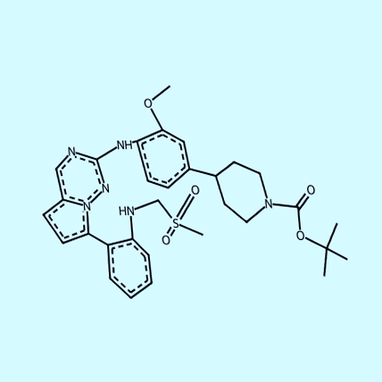 COc1cc(C2CCN(C(=O)OC(C)(C)C)CC2)ccc1Nc1ncc2ccc(-c3ccccc3NCS(C)(=O)=O)n2n1